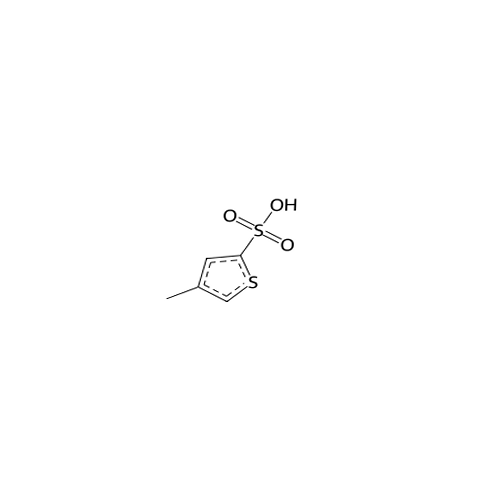 Cc1csc(S(=O)(=O)O)c1